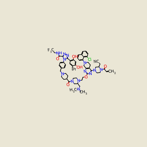 C=CC(=O)N1CCN(c2nc(OCCN3CCN(C(=O)C4CCN(Cc5ccc(-n6c(C(=O)NCC(F)(F)F)nnc6-c6cc(C(C)C)c(O)cc6O)cc5)CC4)CC3CN(C)C)nc3c2CCN(c2cccc4cccc(Cl)c24)C3)CC1CC#N